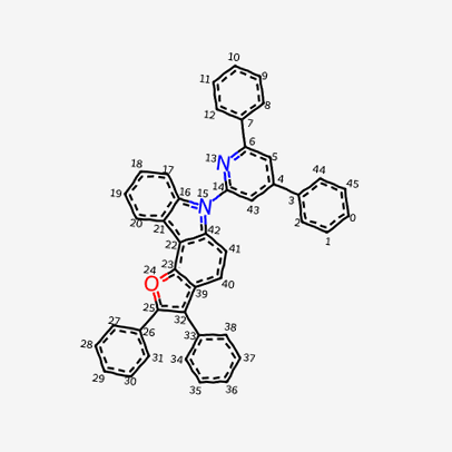 c1ccc(-c2cc(-c3ccccc3)nc(-n3c4ccccc4c4c5oc(-c6ccccc6)c(-c6ccccc6)c5ccc43)c2)cc1